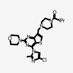 Cc1nc(Cl)cn1-c1nc(N2CCOCC2)nc2c(CN3CCN(C(=O)C(C)C)CC3)csc12